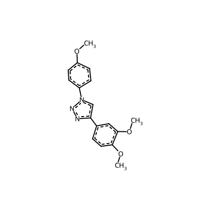 COc1ccc(-n2cc(-c3ccc(OC)c(OC)c3)nn2)cc1